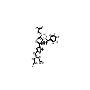 C=C(C)CNC(=C)[C@H](CCc1ccccc1)NC(=C)C1=NCC(CN(CCC)CCC)=C1